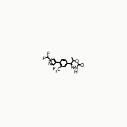 CC1OC(=O)NN=C1c1ccc(-c2cnn(C(F)F)c2)c(C(F)(F)F)c1